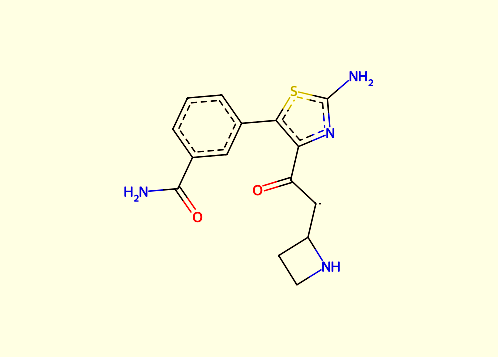 NC(=O)c1cccc(-c2sc(N)nc2C(=O)[CH]C2CCN2)c1